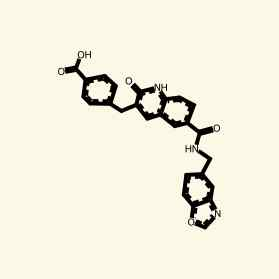 O=C(O)c1ccc(Cc2cc3cc(C(=O)NCc4ccc5ocnc5c4)ccc3[nH]c2=O)cc1